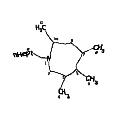 CCCCCCCN1CC(C)C(C)C(C)CC1C